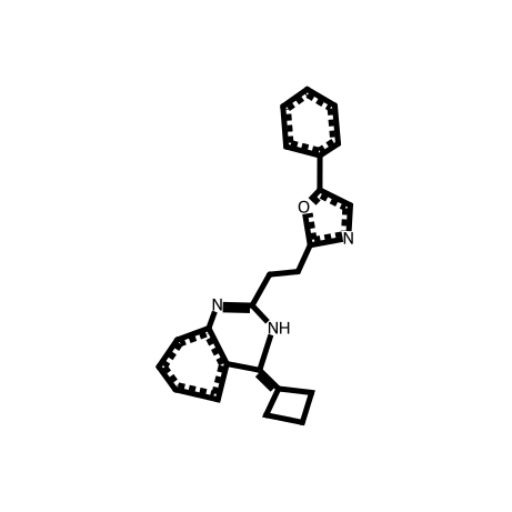 c1ccc(-c2cnc(CCC3=Nc4ccccc4C(=C4CCC4)N3)o2)cc1